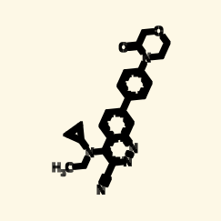 CCN(c1c(C#N)nnc2cc(-c3ccc(N4CCOCC4=O)cc3)ccc12)C1CC1